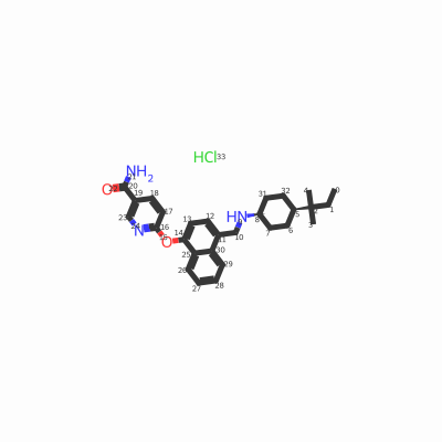 CCC(C)(C)[C@H]1CC[C@@H](NCc2ccc(Oc3ccc(C(N)=O)cn3)c3ccccc23)CC1.Cl